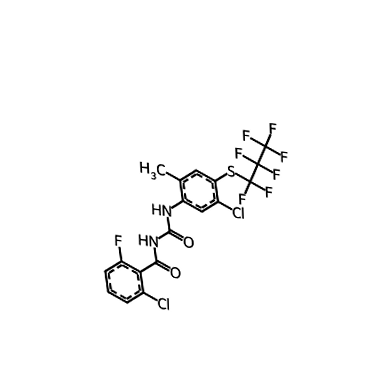 Cc1cc(SC(F)(F)C(F)(F)C(F)(F)F)c(Cl)cc1NC(=O)NC(=O)c1c(F)cccc1Cl